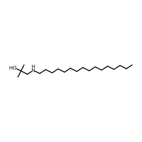 CCCCCCCCCCCCCCCCNCC(C)(C)O